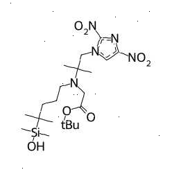 CC(C)(C)OC(=O)CN(CCCC(C)(C)[Si](C)(C)O)C(C)(C)Cn1cc([N+](=O)[O-])nc1[N+](=O)[O-]